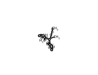 CCCCN(CCOCCOCCOC)c1cc(COc2cc3c(cc2OC)C(=O)N2c4ccccc4C[C@H]2C=N3)cc(COc2cc3c(cc2OC)C(=O)N2c4ccccc4CC2CN3)c1